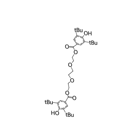 CC(C)(C)c1cc(C(=O)OCCOCCOCCOC(=O)c2cc(C(C)(C)C)c(O)c(C(C)(C)C)c2)cc(C(C)(C)C)c1O